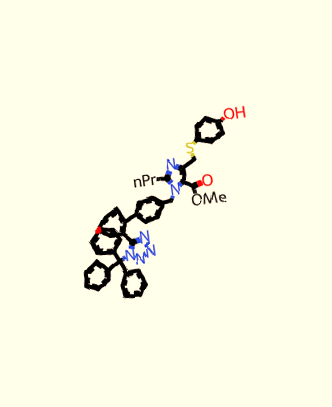 CCCc1nc(CSc2ccc(O)cc2)c(C(=O)OC)n1Cc1ccc(-c2ccccc2-c2nnnn2C(c2ccccc2)(c2ccccc2)c2ccccc2)cc1